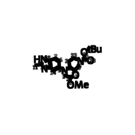 COC(=O)CN(c1ccc2[nH]c(C)nc2c1)C1CCN(C(=O)OC(C)(C)C)CC1